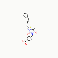 Cc1c(=O)n(Cc2ccc(C(=O)O)cc2)c(=O)n2cc(CC#CCc3ccccc3)sc12